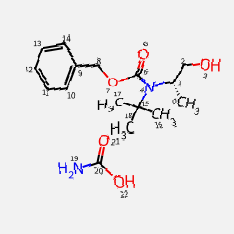 C[C@@H](CO)N(C(=O)OCc1ccccc1)C(C)(C)C.NC(=O)O